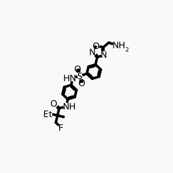 CCC(C)(CF)C(=O)Nc1ccc(NS(=O)(=O)c2cccc(-c3noc(CN)n3)c2)cc1